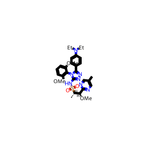 CCN(CC)c1ccc(-c2nnc(NS(=O)(=O)[C@@H](C)[C@H](OC)c3ncc(C)cn3)n2-c2c(OC)cccc2OC)cc1